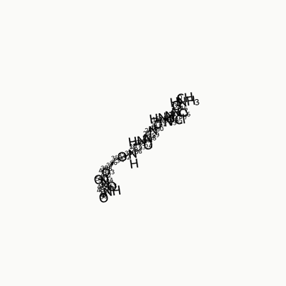 CNC(=O)c1ccccc1Nc1nc(Nc2ccc(N3CCN(C(=O)N[C@H]4CC[C@@H](NCCOCCC#Cc5ccc6c(c5)CN(C5CCC(=O)NC5=O)C6=O)CC4)CC3)cc2)ncc1Cl